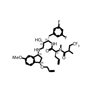 C=CCO[C@@H]1C[C@H](NC[C@H](O)[C@H](Cc2cc(F)cc(F)c2)NC(=O)[C@H](CC=C)N(C)C(=O)C(C)CC(F)(F)F)c2cc(OC)ccc21